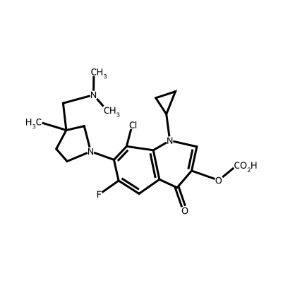 CN(C)CC1(C)CCN(c2c(F)cc3c(=O)c(OC(=O)O)cn(C4CC4)c3c2Cl)C1